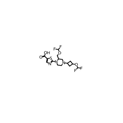 O=C(O)c1cnc(N2CCN(C3CC(OC(F)F)C3)CC2COC(F)F)s1